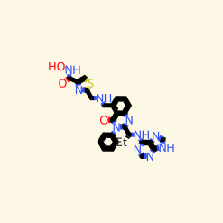 CCC(Nc1ncnc2[nH]cnc12)c1nc2cccc(CNCc3nc(C(=O)NO)cs3)c2c(=O)n1-c1ccccc1